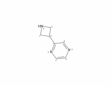 c1cnc(C2CNC2)cn1